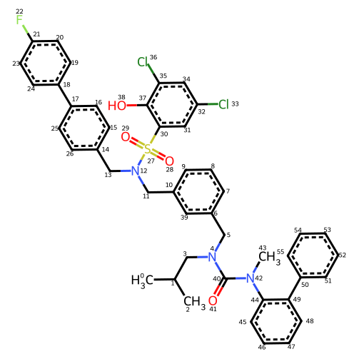 CC(C)CN(Cc1cccc(CN(Cc2ccc(-c3ccc(F)cc3)cc2)S(=O)(=O)c2cc(Cl)cc(Cl)c2O)c1)C(=O)N(C)c1ccccc1-c1ccccc1